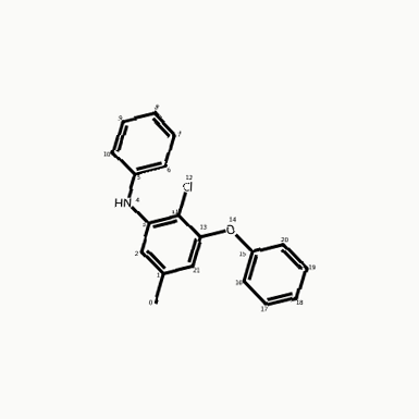 Cc1cc(Nc2ccccc2)c(Cl)c(Oc2ccccc2)c1